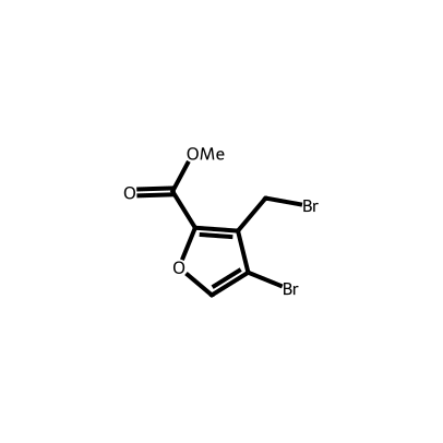 COC(=O)c1occ(Br)c1CBr